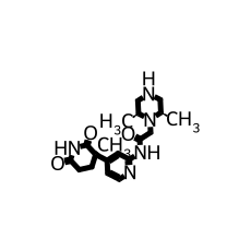 C[C@@H]1CNC[C@H](C)N1CC(=O)Nc1cc(C2(C)CCC(=O)NC2=O)ccn1